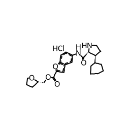 Cl.O=C(OC[C@@H]1CCCO1)c1cc2cc(NC(=O)[C@H]3NCC[C@H]3C3CCCCC3)ccc2o1